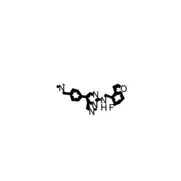 CN(C)Cc1ccc(-c2cnc(NCc3c(F)ccc4occc34)n3cncc23)cc1